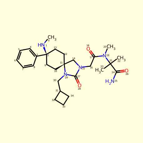 CN[C@]1(c2ccccc2)CC[C@@]2(CC1)CN(CC(=O)N(C)C(C)(C)C(N)=O)C(=O)N2CC1CCC1